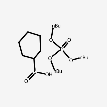 CCCCOP(=O)(OCCCC)OCCCC.O=S(O)C1CCCCC1